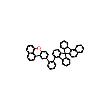 c1ccc(-c2cccc3c2-c2ccccc2C32c3ccccc3-c3c2ccc2ccccc32)c(-c2ccc3c(c2)-c2cccc4cccc(c24)O3)c1